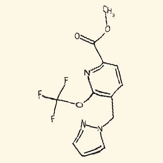 COC(=O)c1ccc(Cn2cccn2)c(OC(F)(F)F)n1